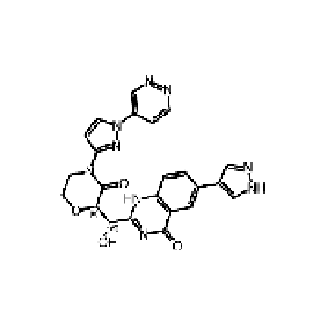 O=C1[C@@H]([C@@H](O)c2nc(=O)c3cc(-c4cn[nH]c4)ccc3[nH]2)OCCN1c1ccn(-c2ccnnc2)n1